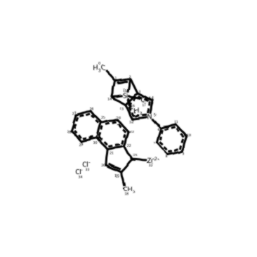 CC1=C2c3cn(-c4ccccc4)cc3C1[Si]2(C)C.CC1=Cc2c(ccc3ccccc23)[CH]1[Zr+2].[Cl-].[Cl-]